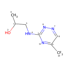 CC(O)CNc1nncc(C(F)(F)F)n1